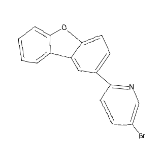 Brc1ccc(-c2ccc3oc4ccccc4c3c2)nc1